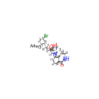 COc1ccc(Br)cc1C(C)(C)CC(O)(C=Nc1cccc2c(=O)[nH]ccc12)C(F)(F)F